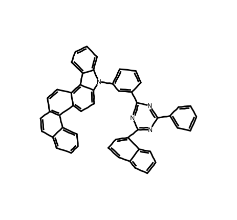 c1ccc(-c2nc(-c3cccc(-n4c5ccccc5c5c6ccc7ccc8ccccc8c7c6ccc54)c3)nc(-c3cccc4ccccc34)n2)cc1